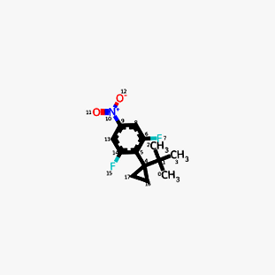 CC(C)(C)C1(c2c(F)cc([N+](=O)[O-])cc2F)CC1